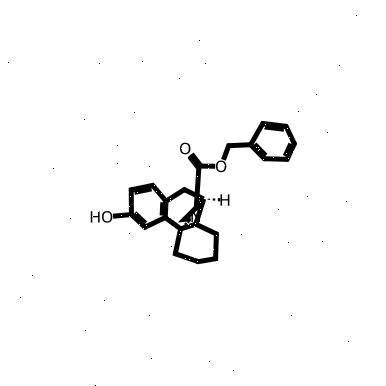 O=C(OCc1ccccc1)N1CCC[C@@]23CCCCC2[C@@H]1Cc1ccc(O)cc13